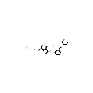 CCOC(=O)c1cnc(N)c2c(COc3cccc(C(=O)NC4CCOCC4)c3)csc12